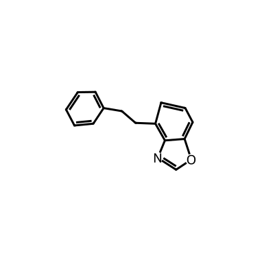 c1ccc(CCc2cccc3ocnc23)cc1